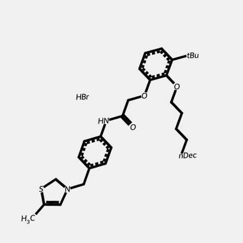 Br.CCCCCCCCCCCCCCOc1c(OCC(=O)Nc2ccc(CN3C=C(C)SC3)cc2)cccc1C(C)(C)C